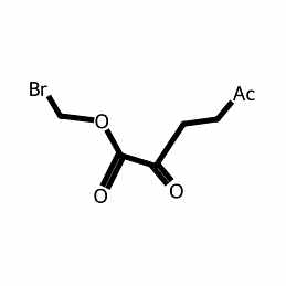 CC(=O)CCC(=O)C(=O)OCBr